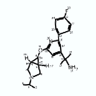 CC(C)N1C[C@@H]2[C@H](C1)[C@H]2Oc1cc(C(C)(C)N)cc(-c2ccc(F)cc2)n1